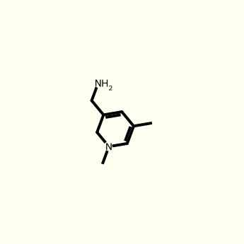 CC1=CN(C)CC(CN)=C1